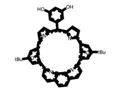 CC(C)(C)c1cc2c3nc(c(-c4cc(O)cc(O)c4)c4ccc([nH]4)c4cc(C(C)(C)C)cc(c4O)c4ccc5ccc6ccc(nc6c5n4)c(c1)c2O)C=C3